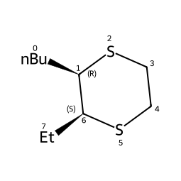 CCCC[C@H]1SCCS[C@H]1CC